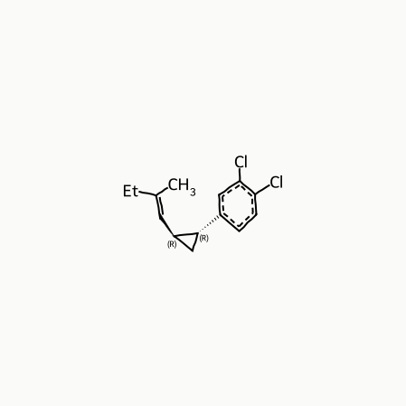 CCC(C)=C[C@@H]1C[C@H]1c1ccc(Cl)c(Cl)c1